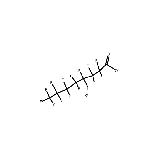 O=C([O-])C(F)(F)C(F)(F)C(F)(F)C(F)(F)C(F)(F)C(F)(F)C(F)(F)Cl.[K+]